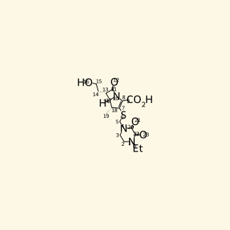 CCN1CCN(CSC2=C(C(=O)O)N3C(=O)[C@@H](CCO)[C@H]3[C@H]2C)C(=O)C1=O